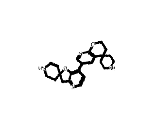 c1cc(-c2cnc3c(c2)C2(CCNCC2)CCO3)c2c(n1)CC1(CCNCC1)O2